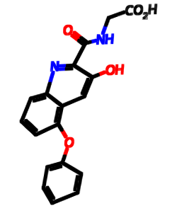 O=C(O)CNC(=O)c1nc2cccc(Oc3ccccc3)c2cc1O